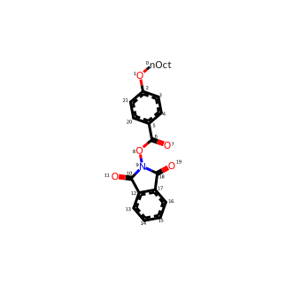 CCCCCCCCOc1ccc(C(=O)ON2C(=O)c3ccccc3C2=O)cc1